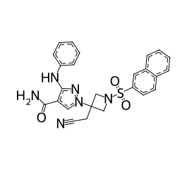 N#CCC1(n2cc(C(N)=O)c(Nc3ccccc3)n2)CN(S(=O)(=O)c2ccc3ccccc3c2)C1